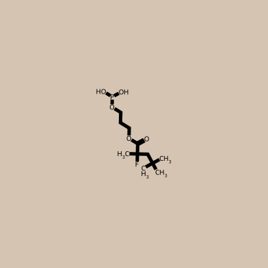 CC(C)(C)CC(C)(F)C(=O)OCCCOP(O)O